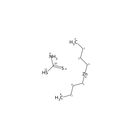 CCC[CH2][Zn][CH2]CCC.NC(=S)S